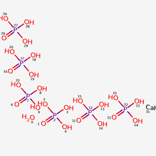 O.O=P(O)(O)O.O=P(O)(O)O.O=P(O)(O)O.O=P(O)(O)O.O=P(O)(O)O.O=P(O)(O)O.[CaH2]